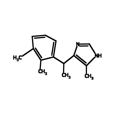 Cc1cccc(C(C)c2nc[nH]c2C)c1C